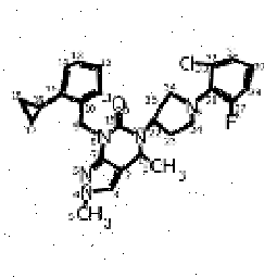 CC1c2cn(C)nc2N(Cc2ccccc2C2CC2)C(=O)N1C1CCN(c2c(F)cccc2Cl)CC1